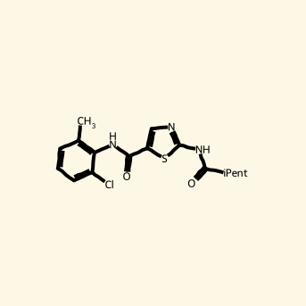 CCCC(C)C(=O)Nc1ncc(C(=O)Nc2c(C)cccc2Cl)s1